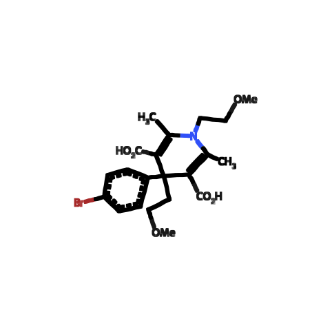 COCCN1C(C)=C(C(=O)O)C(CCOC)(c2ccc(Br)cc2)C(C(=O)O)=C1C